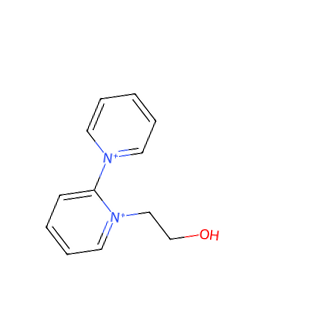 OCC[n+]1ccccc1-[n+]1ccccc1